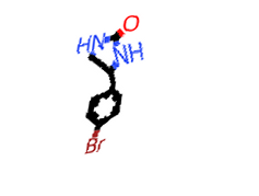 O=C1NCC(c2ccc(Br)cc2)N1